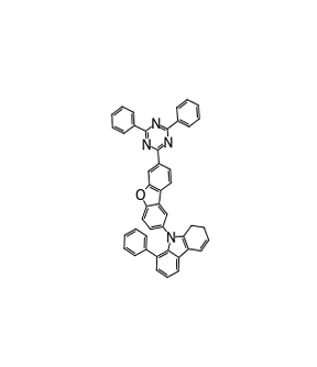 C1=Cc2c(n(-c3ccc4oc5cc(-c6nc(-c7ccccc7)nc(-c7ccccc7)n6)ccc5c4c3)c3c(-c4ccccc4)cccc23)CC1